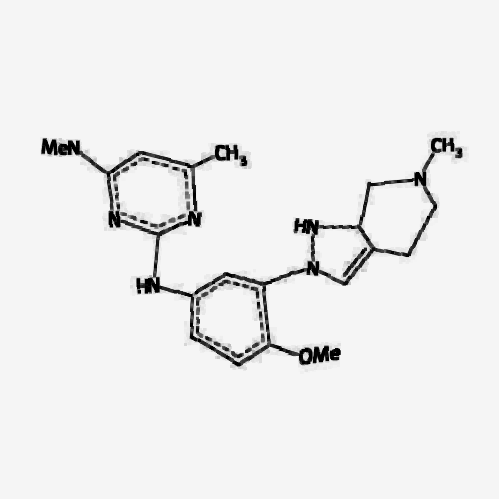 CNc1cc(C)nc(Nc2ccc(OC)c(N3C=C4CCN(C)CC4N3)c2)n1